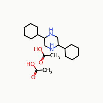 C1CCC(C2CNC(C3CCCCC3)CN2)CC1.CC(=O)O.CC(=O)O